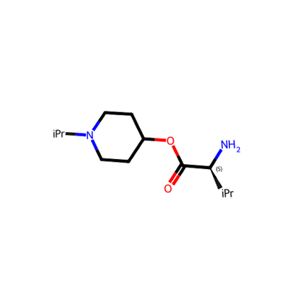 CC(C)[C@H](N)C(=O)OC1CCN(C(C)C)CC1